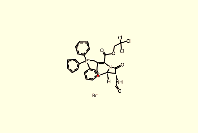 O=CN[C@@H]1C(=O)N2C(C(=O)OCC(Cl)(Cl)Cl)=C(C[P+](c3ccccc3)(c3ccccc3)c3ccccc3)CS[C@@H]12.[Br-]